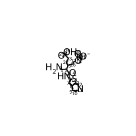 NCC(C(=O)Nc1cc2ccncc2s1)C(CCO[N+](=O)[O-])CCC(=O)O